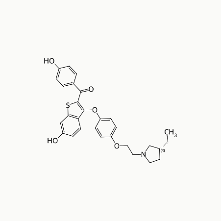 CC[C@@H]1CCN(CCOc2ccc(Oc3c(C(=O)c4ccc(O)cc4)sc4cc(O)ccc34)cc2)C1